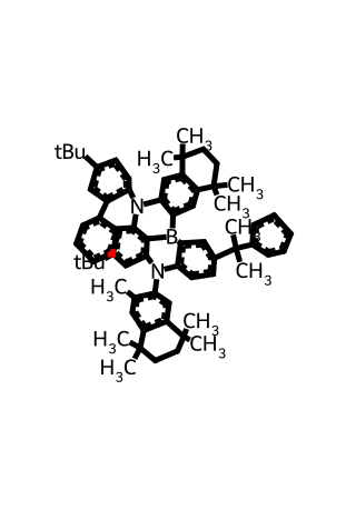 Cc1cc2c(cc1N1c3ccc(C(C)(C)c4ccccc4)cc3B3c4cc5c(cc4N(c4ccc(C(C)(C)C)cc4-c4ccccc4)c4cc(C(C)(C)C)cc1c43)C(C)(C)CCC5(C)C)C(C)(C)CCC2(C)C